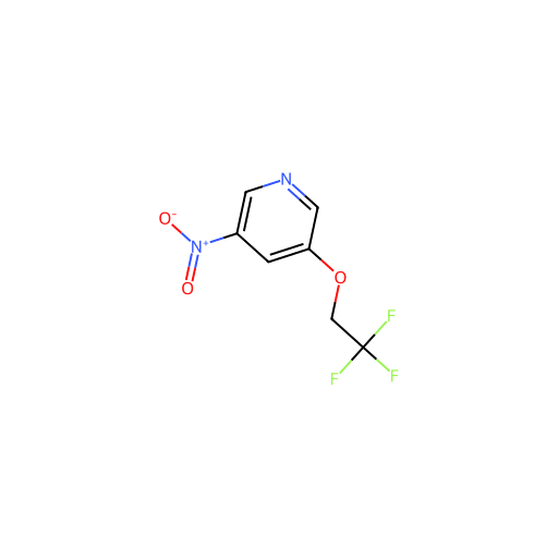 O=[N+]([O-])c1cncc(OCC(F)(F)F)c1